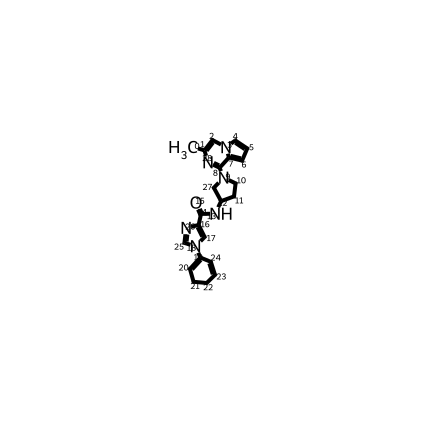 Cc1cn2cccc2c(N2CCC(NC(=O)c3cn(C4=CCCC=C4)cn3)C2)n1